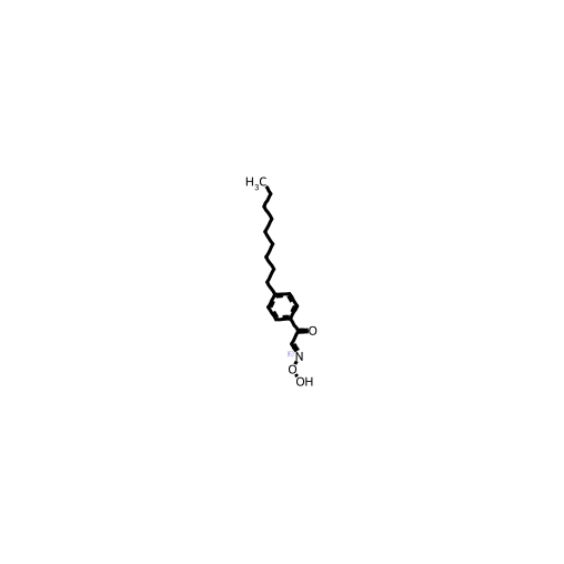 CCCCCCCCCc1ccc(C(=O)/C=N/OO)cc1